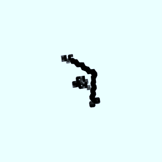 CCCCCCCC/C=C\CCCCCCCC(=O)[O-].[CH3][Sn+][CH3]